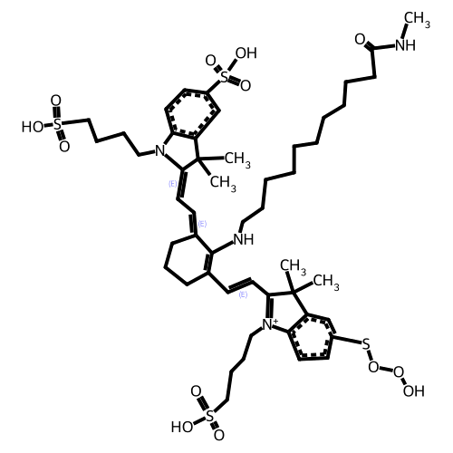 CNC(=O)CCCCCCCCCCNC1=C(/C=C/C2=[N+](CCCCS(=O)(=O)O)c3ccc(SOOO)cc3C2(C)C)CCC/C1=C\C=C1\N(CCCCS(=O)(=O)O)c2ccc(S(=O)(=O)O)cc2C1(C)C